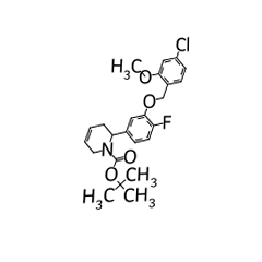 COc1cc(Cl)ccc1COc1cc(C2CC=CCN2C(=O)OC(C)(C)C)ccc1F